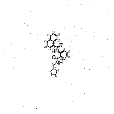 O=C(NCC1CCCC1)c1ncccc1NC(=O)c1cccc2ccccc12